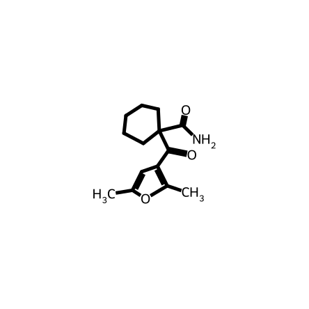 Cc1cc(C(=O)C2(C(N)=O)CCCCC2)c(C)o1